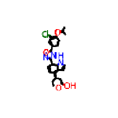 CCC(CC(=O)O)c1ccc(-c2noc(-c3ccc(OC(C)C)c(Cl)c3)n2)c2[nH]ccc12